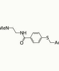 CNCCNC(=O)c1ccc(SCC(C)=O)cc1